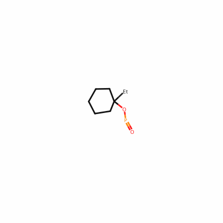 CCC1(OP=O)CCCCC1